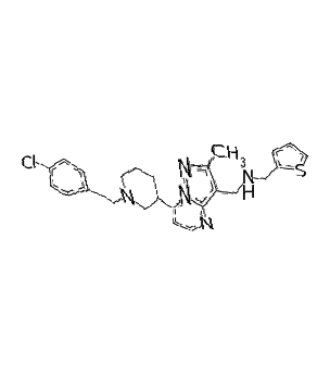 Cc1nn2c(C3CCCN(Cc4ccc(Cl)cc4)C3)ccnc2c1CNCc1cccs1